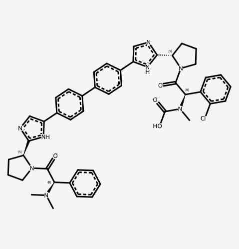 CN(C)[C@@H](C(=O)N1CCC[C@H]1c1ncc(-c2ccc(-c3ccc(-c4cnc([C@@H]5CCCN5C(=O)[C@@H](c5ccccc5Cl)N(C)C(=O)O)[nH]4)cc3)cc2)[nH]1)c1ccccc1